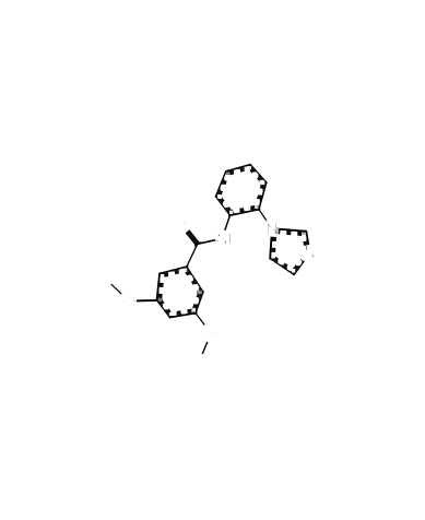 COc1cc(OC)cc(C(=O)Nc2ccccc2-n2ccnc2)c1